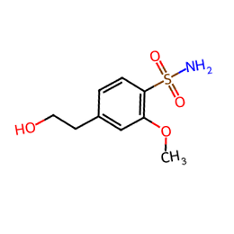 COc1cc(CCO)ccc1S(N)(=O)=O